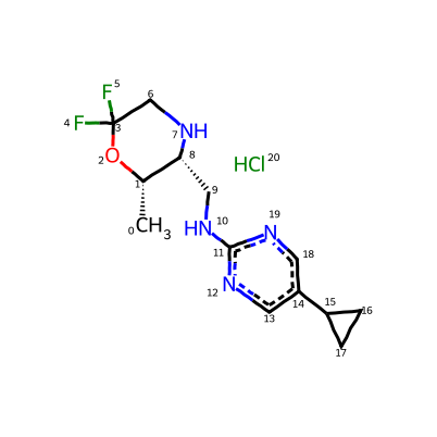 C[C@@H]1OC(F)(F)CN[C@@H]1CNc1ncc(C2CC2)cn1.Cl